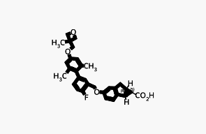 Cc1cc(OCC2(C)COC2)cc(C)c1-c1ccc(F)c(COc2ccc3c(c2)C[C@H]2[C@H](C(=O)O)[C@@H]32)c1